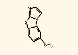 Nc1ccc2sc3nccn3c2c1